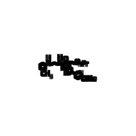 CCCOCCn1c(=O)c(NCCCNc2cccc(C)c2)nc2ncc(-c3ccc(OC)nc3)cc21